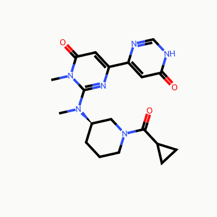 CN(c1nc(-c2cc(=O)[nH]cn2)cc(=O)n1C)[C@@H]1CCCN(C(=O)C2CC2)C1